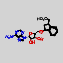 Nc1ncnc2c1ncn2[C@@H]1O[C@H](COC2CC(CC(=O)O)c3ccccc32)[C@@H](O)[C@H]1O